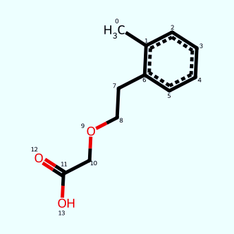 Cc1ccccc1CCOCC(=O)O